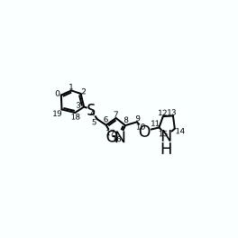 c1ccc(SCc2cc(COC3CCCN3)no2)cc1